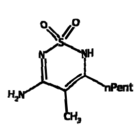 CCCCCC1=C(C)C(N)=NS(=O)(=O)N1